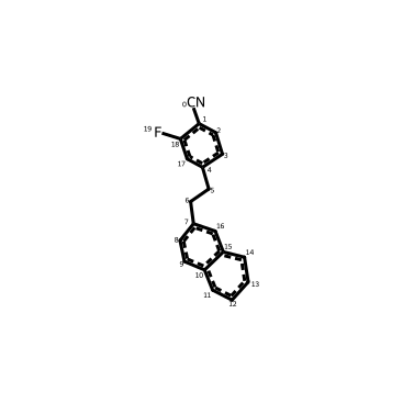 N#Cc1ccc(CCc2ccc3ccccc3c2)cc1F